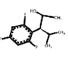 CC(C)[C@@H](c1c(F)cc(F)cc1F)C(C)O